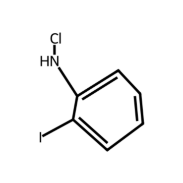 ClNc1ccccc1I